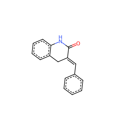 O=C1Nc2ccccc2CC1=Cc1ccccc1